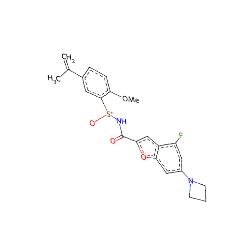 C=C(C)c1ccc(OC)c([S+]([O-])NC(=O)c2cc3c(F)cc(N4CCC4)cc3o2)c1